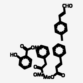 COC(=O)C=Cc1ccccc1.COC(=O)Cc1ccccc1.COC(=O)c1ccccc1O.Cc1ccc(C=CC=O)cc1